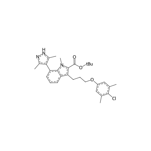 Cc1cc(OCCCc2c(C(=O)OC(C)(C)C)n(C)c3c(-c4c(C)n[nH]c4C)cccc23)cc(C)c1Cl